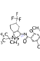 COc1ccc(Cl)cc1C(=O)/N=c1\sn(C(C)(C)C)c2c1CC(C(F)(F)F)CC2